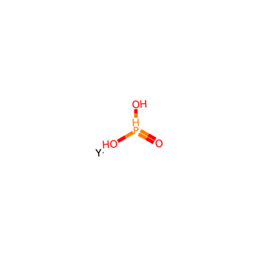 O=[PH](O)O.[Y]